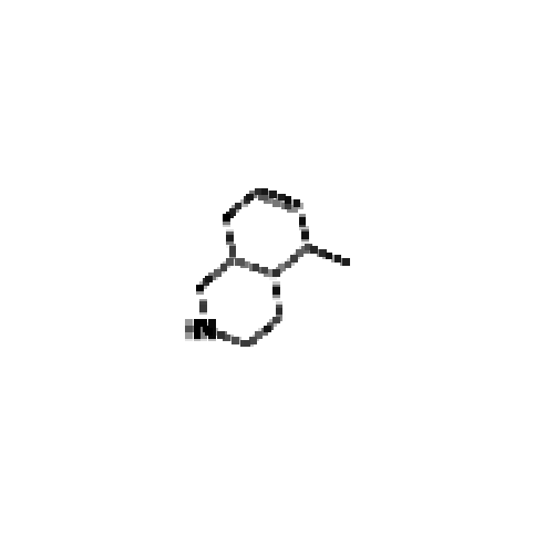 CC1C=CCC2CNCCC12